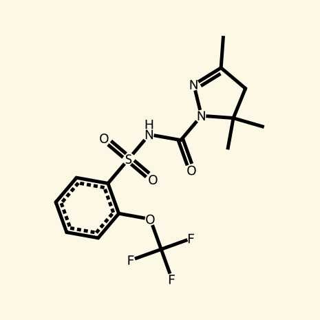 CC1=NN(C(=O)NS(=O)(=O)c2ccccc2OC(F)(F)F)C(C)(C)C1